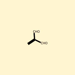 C=C(C=O)C=O